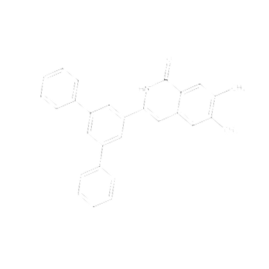 Cc1cc2cc(-c3cc(-c4ccccc4)cc(-c4ccccc4)c3)[nH]c(=O)c2cc1C